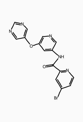 O=C(Nc1cncc(Oc2cncnc2)c1)c1cc(Br)ccn1